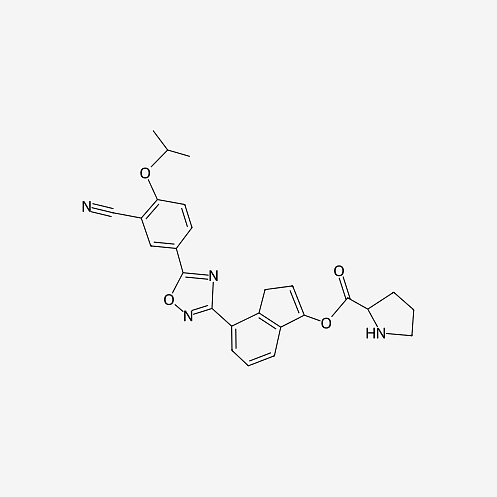 CC(C)Oc1ccc(-c2nc(-c3cccc4c3CC=C4OC(=O)C3CCCN3)no2)cc1C#N